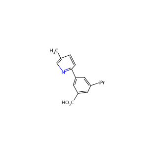 Cc1ccc(-c2cc(C(=O)O)cc(C(C)C)c2)nc1